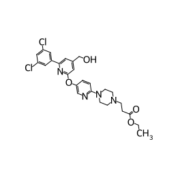 CCOC(=O)CCN1CCN(c2ccc(Oc3cc(CO)cc(-c4cc(Cl)cc(Cl)c4)n3)cn2)CC1